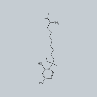 CCC(C)(CCCCCCCCC(N)C(C)C)c1ccc(O)cc1O